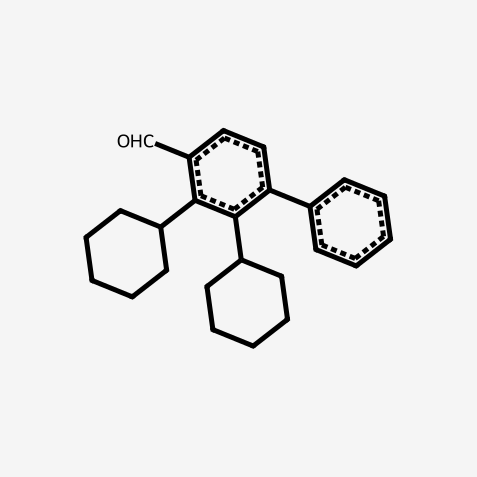 O=Cc1ccc(-c2ccccc2)c(C2CCCCC2)c1C1CCCCC1